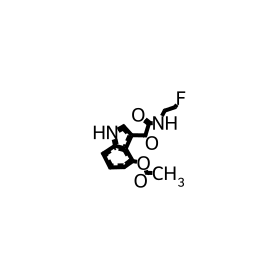 CC(=O)Oc1cccc2[nH]cc(C(=O)C(=O)NCCF)c12